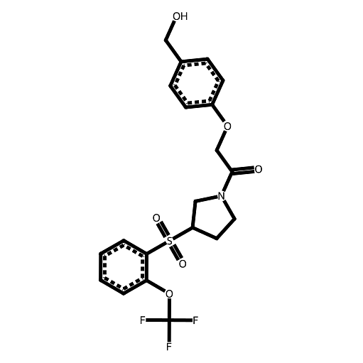 O=C(COc1ccc(CO)cc1)N1CCC(S(=O)(=O)c2ccccc2OC(F)(F)F)C1